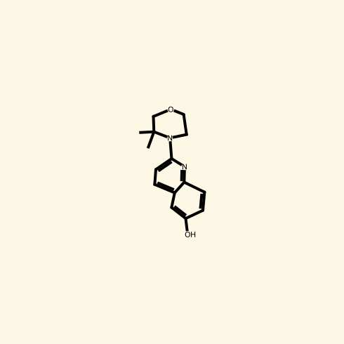 CC1(C)COCCN1c1ccc2cc(O)ccc2n1